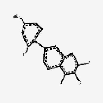 CCCCc1ccc(-c2ccc3c(F)c(F)c(F)cc3c2)c(F)c1